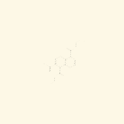 CCOC(=O)c1cccc2c(C(=O)OCC)c(C(=O)O)ccc12